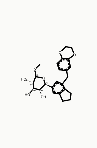 CS[C@H]1O[C@@H](c2cc3c(c(Cc4ccc5c(c4)OCCO5)c2)CCC3)[C@H](O)[C@@H](O)[C@@H]1O